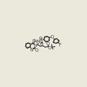 Cn1c(=O)n(C(CCCC(=O)OC(C)(C)C)NS(=O)(=O)c2ccc(Oc3ccc(F)cc3)cc2)c(=O)c2ccccc21